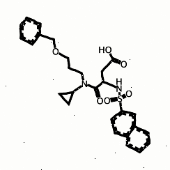 O=C(O)CC(NS(=O)(=O)c1ccc2ccccc2c1)C(=O)N(CCCOCc1ccccc1)C1CC1